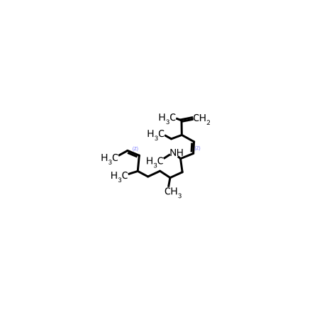 C=C(C)C(/C=C\C(CC(C)CCC(C)/C=C\C)NC)CC